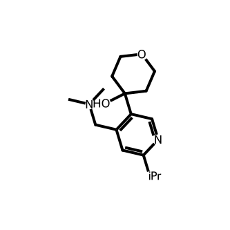 CC(C)c1cc(CN(C)C)c(C2(O)CCOCC2)cn1